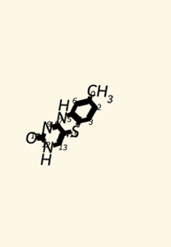 Cc1ccc2c(c1)Nc1nc(=O)[nH]cc1S2